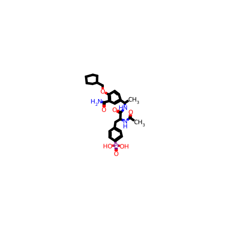 CC(=O)NC(Cc1ccc(P(=O)(O)O)cc1)C(=O)NC(C)c1ccc(OCC2CCCCC2)c(C(N)=O)c1